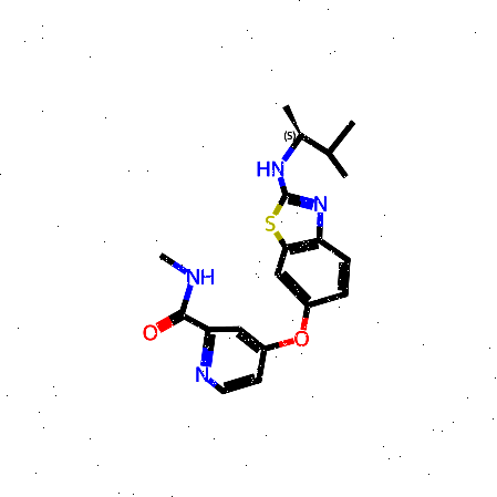 CNC(=O)c1cc(Oc2ccc3nc(N[C@@H](C)C(C)C)sc3c2)ccn1